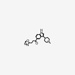 CN1CCC(c2c[nH]c3ccc(C(=O)CCc4nnco4)cc23)CC1